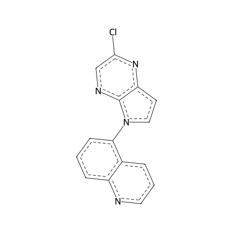 Clc1cnc2c(ccn2-c2cccc3ncccc23)n1